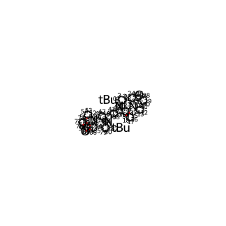 CC(C)(C)c1cccc2c3c(N(c4ccccc4-c4ccccc4)c4cccc5oc6ccccc6c45)ccc4c5cc6c(cc5n(c12)c43)c1ccc(N(c2ccccc2-c2ccccc2)c2cccc3oc4ccccc4c23)c2c3cccc(C(C)(C)C)c3n6c12